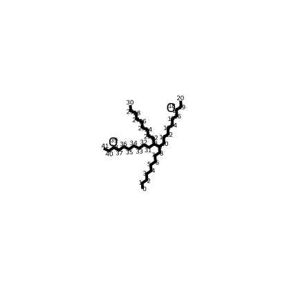 CCCCCCCCCC(CCCCCCCC(=O)CC)C(CCCCCCCCC)CCCCCCCC(=O)CC